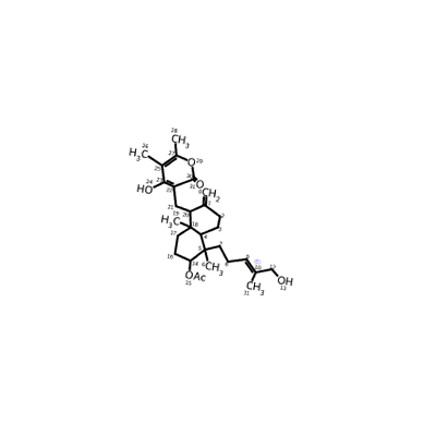 C=C1CCC2C(C)(CC/C=C(\C)CO)C(OC(C)=O)CCC2(C)C1Cc1c(O)c(C)c(C)oc1=O